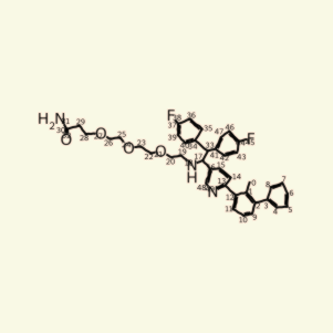 Cc1c(-c2ccccc2)cccc1-c1ccc(C(NCCOCCOCCOCCC(N)=O)C(c2ccc(F)cc2)c2ccc(F)cc2)cn1